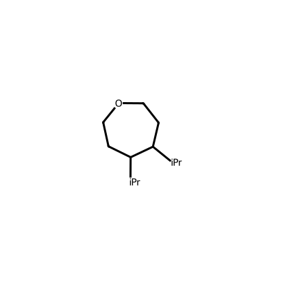 CC(C)C1CCOCCC1C(C)C